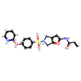 C=CC(=O)Nc1cc2c(o1)CN(S(=O)(=O)c1ccc(Oc3ccccn3)cc1)C2